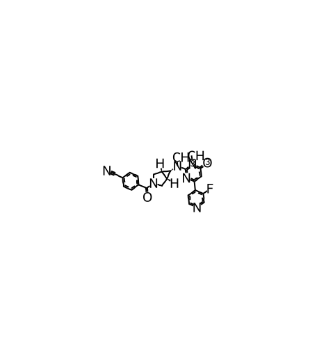 CN(c1nc(-c2ccncc2F)cc(=O)n1C)[C@@H]1[C@@H]2CN(C(=O)c3ccc(C#N)cc3)C[C@@H]21